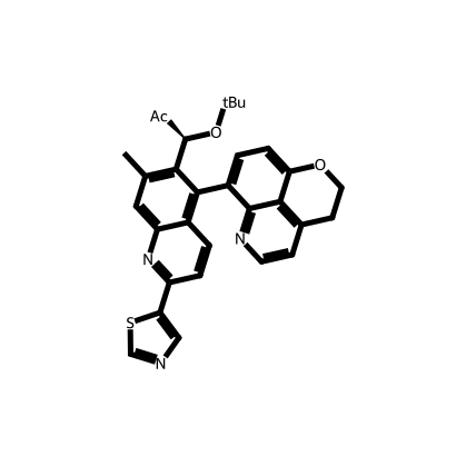 CC(=O)[C@@H](OC(C)(C)C)c1c(C)cc2nc(-c3cncs3)ccc2c1-c1ccc2c3c(ccnc13)CCO2